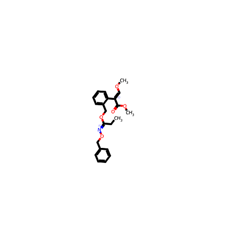 CC/C(=N\OCc1ccccc1)OCc1ccccc1/C(=C\OC)C(=O)OC